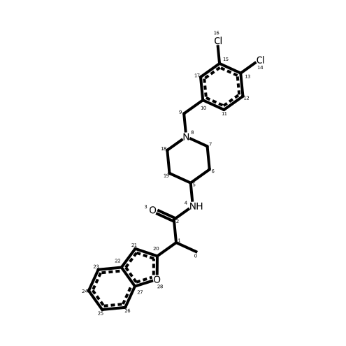 CC(C(=O)NC1CCN(Cc2ccc(Cl)c(Cl)c2)CC1)c1cc2ccccc2o1